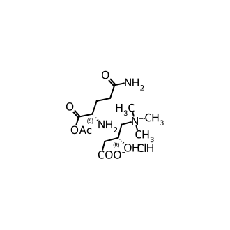 CC(=O)OC(=O)[C@@H](N)CCC(N)=O.C[N+](C)(C)C[C@H](O)CC(=O)[O-].Cl